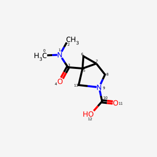 CN(C)C(=O)C12CC1CN(C(=O)O)C2